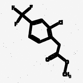 COC(=O)Cc1ccc(C(F)(F)F)cc1Cl